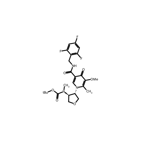 COc1c(C)n([C@@H]2COC[C@H]2N(C)C(=O)OC(C)(C)C)cc(C(=O)NCc2c(F)cc(F)cc2F)c1=O